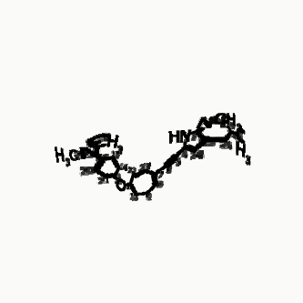 C/N=C1/NC(C#CC2=CCC=C(Oc3ccc(N(C)C)cc3)C=C2)=C/C1=C/C(C)F